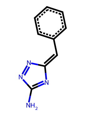 NC1=NC(=Cc2ccccc2)N=N1